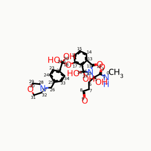 CNC(=O)C(O)(CCC=O)N1C(=O)c2cccc(OC(O)(O)c3ccc(CN4CCOCC4)cc3)c2C1(O)O